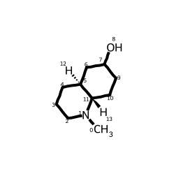 CN1CCC[C@H]2CC(O)CC[C@@H]21